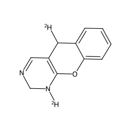 [2H]C1C2=C(Oc3ccccc31)N([2H])CN=C2